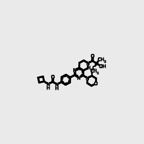 C[C@H]1COCCN1c1nc(-c2ccc(NC(=O)NC3CCC3)cc2)nc2c1CN(C(=O)C(C)(C)O)CC2